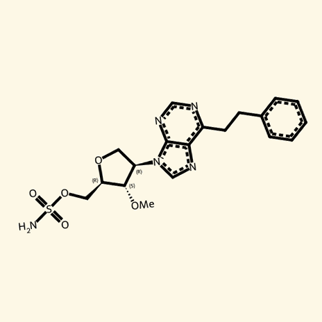 CO[C@H]1[C@H](n2cnc3c(CCc4ccccc4)ncnc32)CO[C@@H]1COS(N)(=O)=O